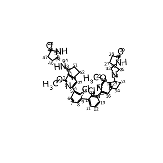 COc1nc(-c2cccc(-c3cccc(-c4cc5c(c(OC)n4)C(N4CC6(CCC(=O)N6)C4)CC5)c3Cl)c2Cl)cc2c1C(NC[C@@H]1CCC(=O)N1)CC2